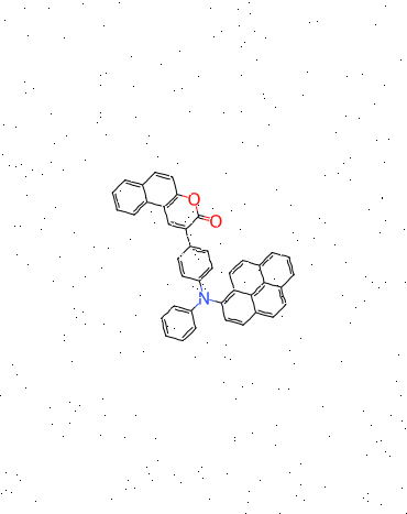 O=c1oc2ccc3ccccc3c2cc1-c1ccc(N(c2ccccc2)c2ccc3ccc4cccc5ccc2c3c45)cc1